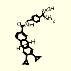 NC(=NO)c1ccc(CNC(=O)c2ccc3c(c2)[C@H]2O[C@@H]3c3cc(C4CC4)c(C4CC4)cc32)cc1